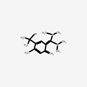 C=c1cc(C)c(C(C)(C)C(C)C)cc1=C(N(C)C)N(C)C